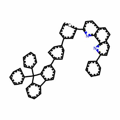 c1ccc(-c2ccc3ccc4ccc(-c5cccc(-c6ccc(-c7ccc8c(c7)C(c7ccccc7)(c7ccccc7)c7ccccc7-8)cc6)c5)nc4c3n2)cc1